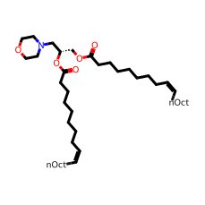 CCCCCCCC/C=C\CCCCCCCC(=O)OC[C@@H](CN1CCOCC1)OC(=O)CCCCCCC/C=C\CCCCCCCC